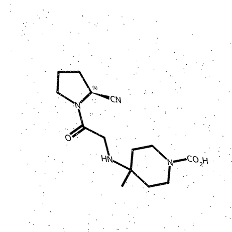 CC1(NCC(=O)N2CCC[C@H]2C#N)CCN(C(=O)O)CC1